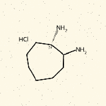 Cl.NC1CCCCCC[C@@H]1N